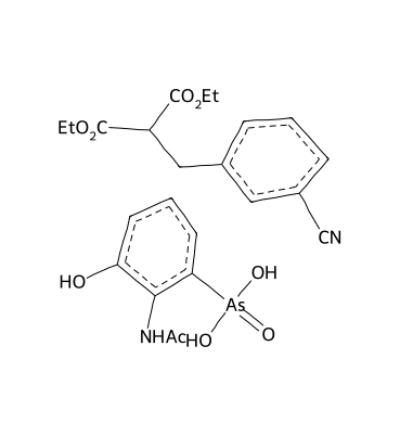 CC(=O)Nc1c(O)cccc1[As](=O)(O)O.CCOC(=O)C(Cc1cccc(C#N)c1)C(=O)OCC